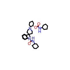 O=C(NC1CCCCC1)O[C@H]1CCCCC1N1CCC2(CC1)CN(C(=O)NC1CCCCC1)c1ccccc12